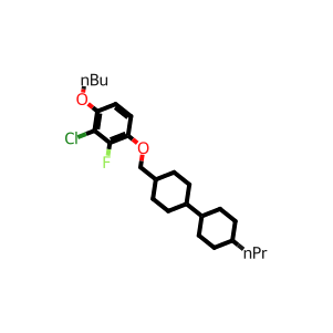 CCCCOc1ccc(OCC2CCC(C3CCC(CCC)CC3)CC2)c(F)c1Cl